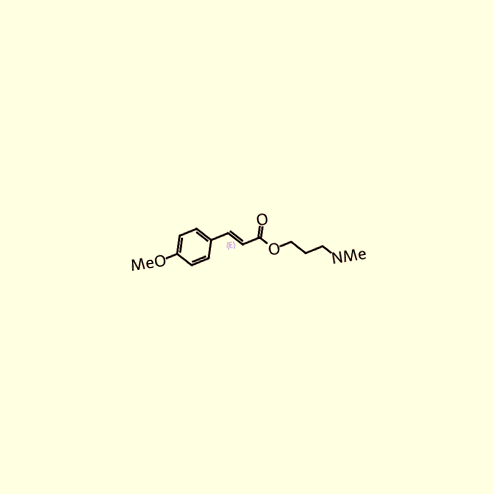 CNCCCOC(=O)/C=C/c1ccc(OC)cc1